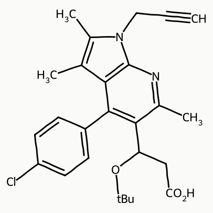 C#CCn1c(C)c(C)c2c(-c3ccc(Cl)cc3)c(C(CC(=O)O)OC(C)(C)C)c(C)nc21